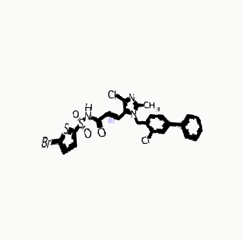 Cc1nc(Cl)c(/C=C/C(=O)NS(=O)(=O)c2ccc(Br)s2)n1Cc1ccc(-c2ccccc2)cc1Cl